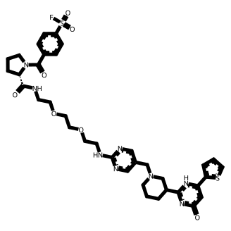 O=C(NCCOCCOCCNc1ncc(CN2CCCC(c3nc(=O)cc(-c4cccs4)[nH]3)C2)cn1)[C@@H]1CCCN1C(=O)c1ccc(S(=O)(=O)F)cc1